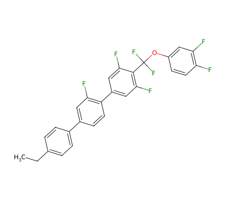 CCc1ccc(-c2ccc(-c3cc(F)c(C(F)(F)Oc4ccc(F)c(F)c4)c(F)c3)c(F)c2)cc1